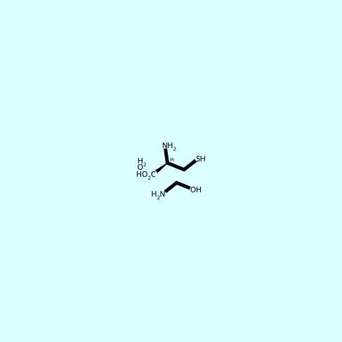 NCO.N[C@@H](CS)C(=O)O.O